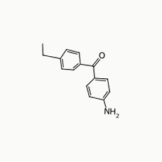 CCc1ccc(C(=O)c2ccc(N)cc2)cc1